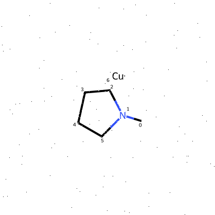 CN1CCCC1.[Cu]